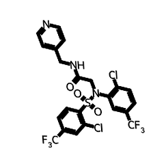 O=C(CN(c1cc(C(F)(F)F)ccc1Cl)S(=O)(=O)c1ccc(C(F)(F)F)cc1Cl)NCc1ccncc1